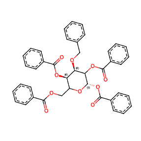 O=C(OCC1O[C@@H](OC(=O)c2ccccc2)C(OC(=O)c2ccccc2)[C@H](OCc2ccccc2)[C@@H]1OC(=O)c1ccccc1)c1ccccc1